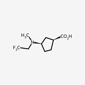 CN(CC(F)(F)F)[C@@H]1CC[C@H](C(=O)O)C1